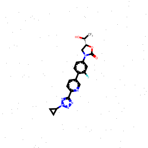 O=C1O[C@@H](C(O)C(F)(F)F)CN1c1ccc(-c2ccc(-c3nnn(C4CC4)n3)nc2)c(F)c1